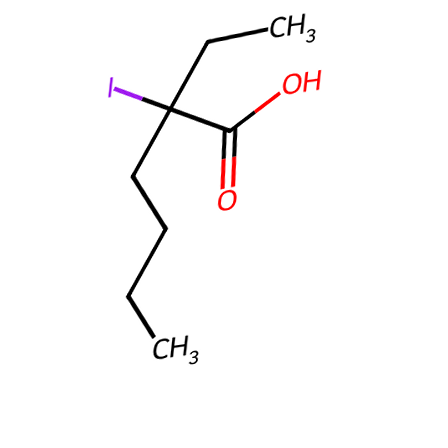 CCCCC(I)(CC)C(=O)O